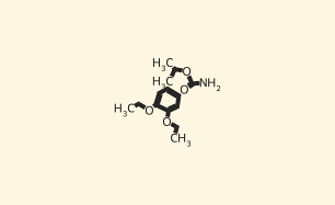 CC(C)OC(N)=O.CCOc1ccccc1OCC